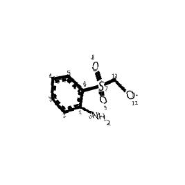 Nc1ccccc1S(=O)(=O)C[O]